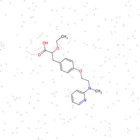 CCOC(Cc1ccc(OCCN(C)c2ccccn2)cc1)C(=O)O